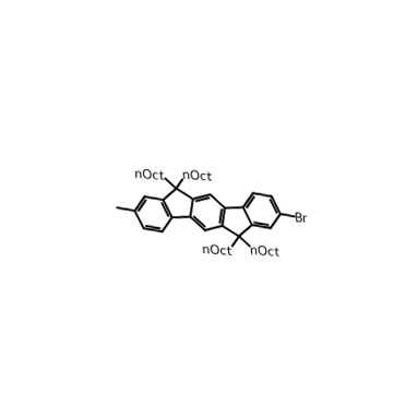 CCCCCCCCC1(CCCCCCCC)c2cc(C)ccc2-c2cc3c(cc21)-c1ccc(Br)cc1C3(CCCCCCCC)CCCCCCCC